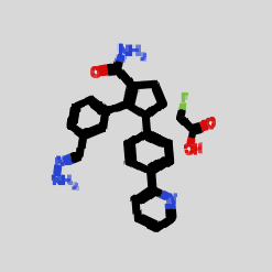 NN=Cc1cccc(C2=C(C(N)=O)CCC2c2ccc(-c3ccccn3)cc2)c1.O=C(O)CF